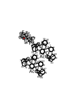 CC(=O)OC(Oc1ccccc1[S+](c1ccccc1)c1ccccc1OC(OC(C)=O)C12CC3CC(CC(C3)C1C)C2)C12CC3CC(CC(C3)C1C)C2.CC(=O)OC(Oc1ccccc1[S+](c1ccccc1)c1ccccc1OC(OC(C)=O)C12CC3CC(CC(C3)C1C)C2)C12CC3CC(CC(C3)C1C)C2.O=S(=O)([O-])C(F)(F)C(F)(F)C(F)(F)C(F)(F)S(=O)(=O)[O-]